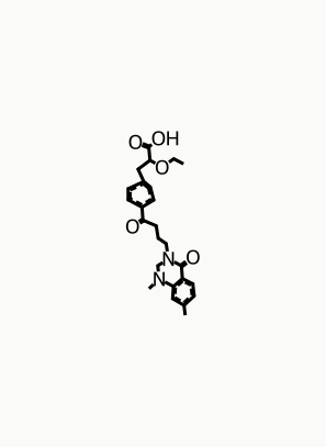 CCOC(Cc1ccc(C(=O)CCCN2CN(C)c3cc(C)ccc3C2=O)cc1)C(=O)O